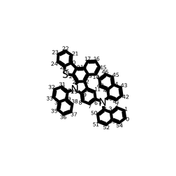 c1ccc2c(N(c3ccc4c(c3)c3c5ccccc5c5c6ccccc6sc5c3n4-c3cccc4ccccc34)c3cccc4ccccc34)cccc2c1